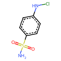 NS(=O)(=O)c1ccc(NCl)cc1